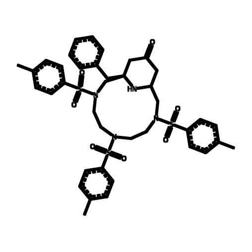 Cc1ccc(S(=O)(=O)N2CCN(S(=O)(=O)c3ccc(C)cc3)CC3CC(=O)CC(Cc4ccccc4)(CN(S(=O)(=O)c4ccc(C)cc4)CC2)N3)cc1